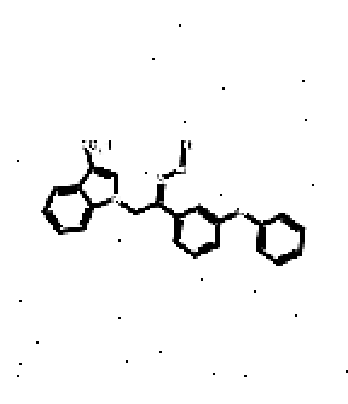 CCON=C(Cn1cc(C(=O)O)c2ccccc21)c1cccc(Oc2ccccc2)c1